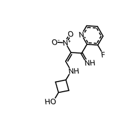 N=C(/C(=C\NC1CC(O)C1)[N+](=O)[O-])c1ncccc1F